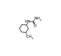 CC1CCCC(NC(N)=O)C1